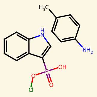 Cc1ccc(N)cc1.O=P(O)(OCl)c1c[nH]c2ccccc12